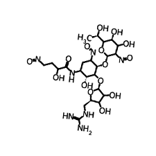 C[C@@H](O)C1O[C@H](O[C@@H]2C(N=O)CC(NC(=O)C(O)CCN=O)[C@@H](O)C2O[C@@H]2O[C@H](CNC(=N)N)C(O)C2O)C(N=O)C(O)[C@@H]1O